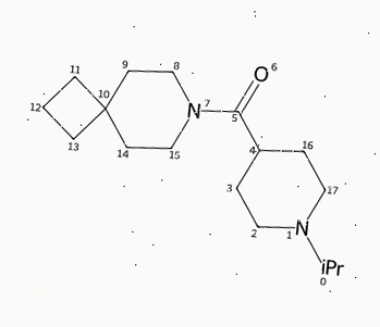 CC(C)N1CCC(C(=O)N2CCC3(CCC3)CC2)CC1